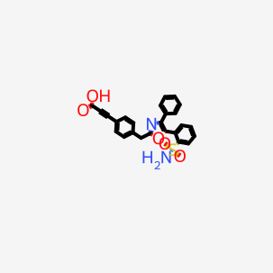 NS(=O)(=O)c1ccccc1-c1oc(Cc2ccc(C#CC(=O)O)cc2)nc1-c1ccccc1